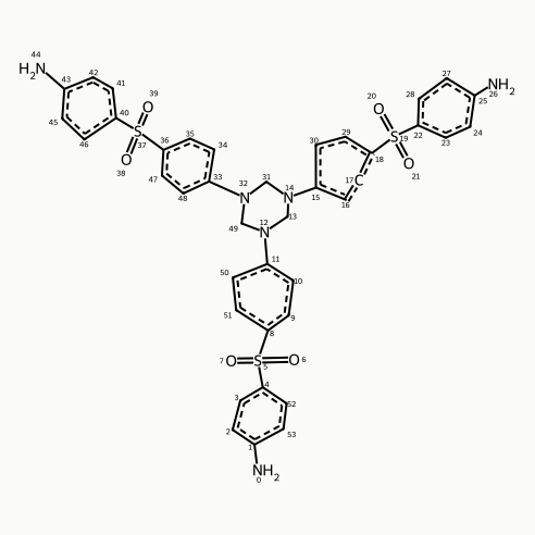 Nc1ccc(S(=O)(=O)c2ccc(N3CN(c4ccc(S(=O)(=O)c5ccc(N)cc5)cc4)CN(c4ccc(S(=O)(=O)c5ccc(N)cc5)cc4)C3)cc2)cc1